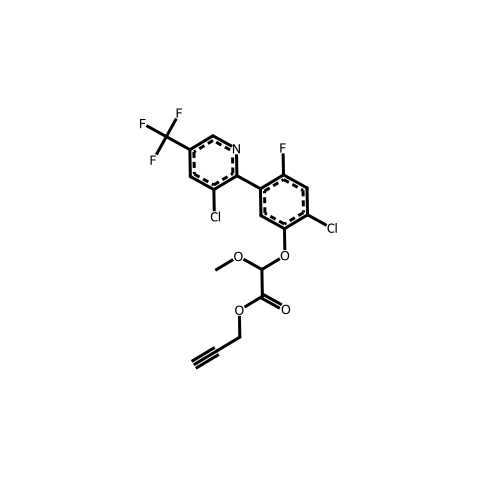 C#CCOC(=O)C(OC)Oc1cc(-c2ncc(C(F)(F)F)cc2Cl)c(F)cc1Cl